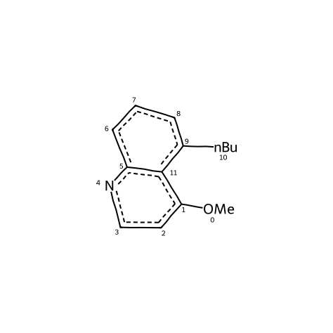 [CH2]Oc1ccnc2cccc(CCCC)c12